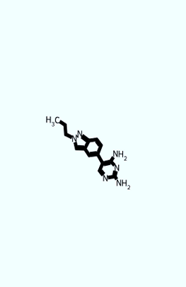 CCCn1cc2cc(-c3cnc(N)nc3N)ccc2n1